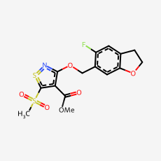 COC(=O)c1c(OCc2cc3c(cc2F)CCO3)nsc1S(C)(=O)=O